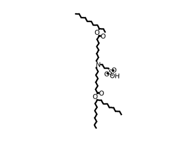 CCCCCCCCC(CC)OC(=O)CCCCCCCN(CCCCCCCC(=O)OC(CCCCCCCC)CCCCCCCC)CCCS(=O)(=O)O